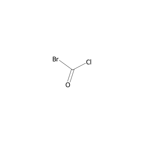 O=C(Cl)Br